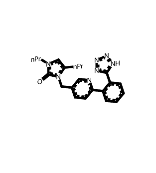 CCCc1cn(CCC)c(=O)n1Cc1ccc(-c2ccccc2-c2nnn[nH]2)nc1